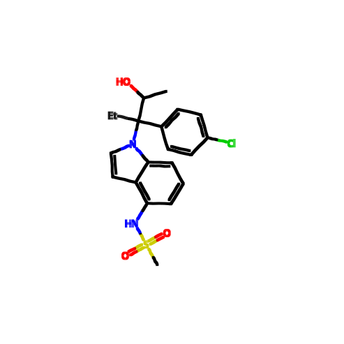 CCC(c1ccc(Cl)cc1)(C(C)O)n1ccc2c(NS(C)(=O)=O)cccc21